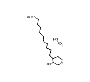 CCCCCCCCCCCCCCCCCCCCC1CCOCC1O.O=[N+]([O-])O